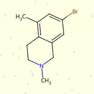 Cc1cc(Br)cc2c1CCN(C)C2